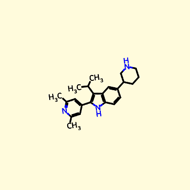 Cc1cc(-c2[nH]c3ccc(C4CCCNC4)cc3c2C(C)C)cc(C)n1